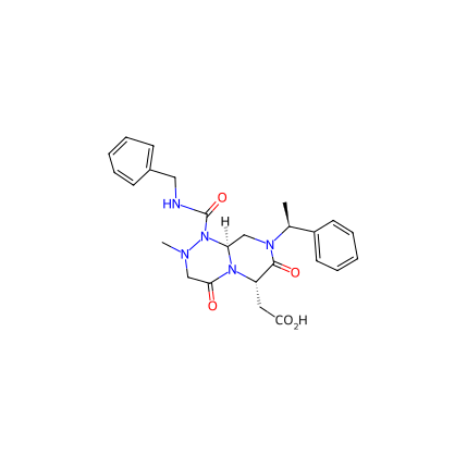 C[C@@H](c1ccccc1)N1C[C@H]2N(C(=O)CN(C)N2C(=O)NCc2ccccc2)[C@@H](CC(=O)O)C1=O